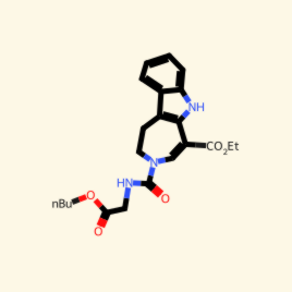 CCCCOC(=O)CNC(=O)N1C=C(C(=O)OCC)c2[nH]c3ccccc3c2CC1